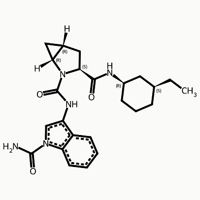 CC[C@H]1CCC[C@@H](NC(=O)[C@@H]2C[C@H]3C[C@H]3N2C(=O)Nc2cn(C(N)=O)c3ccccc23)C1